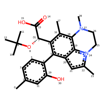 Cc1ccc(-c2c([C@H](OC(C)(C)C)C(=O)O)c(C)c3c4c2cc(C)n4CCN3C)c(O)c1